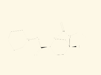 O=C(NN1CCSCC1)[C@@H]1CC[C@@H]2CN1C(=O)N2OS(=O)(=O)O